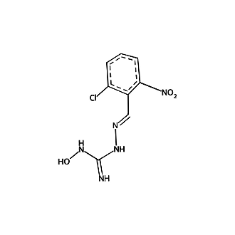 N=C(NO)N/N=C/c1c(Cl)cccc1[N+](=O)[O-]